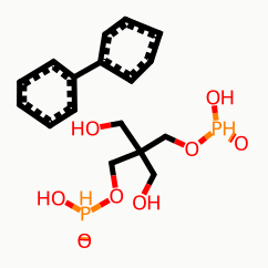 O=[PH](O)OCC(CO)(CO)CO[PH](=O)O.c1ccc(-c2ccccc2)cc1